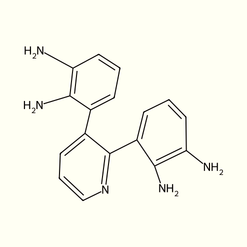 Nc1cccc(-c2cccnc2-c2cccc(N)c2N)c1N